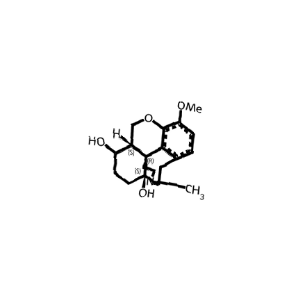 COc1ccc2c3c1OC[C@H]1C(O)CC[C@@]4(O)C(C2)N(C)CC[C@]314